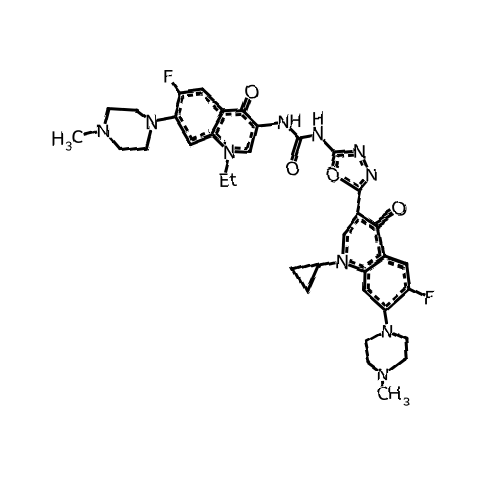 CCn1cc(NC(=O)Nc2nnc(-c3cn(C4CC4)c4cc(N5CCN(C)CC5)c(F)cc4c3=O)o2)c(=O)c2cc(F)c(N3CCN(C)CC3)cc21